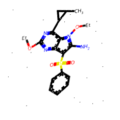 CCOc1nc(C2CC2C)c2c(n1)c(S(=O)(=O)c1ccccc1)c(N)n2OCC